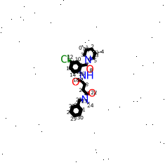 C[C@@H]1C[C@H](C)CN(C(=O)c2cc(Cl)ccc2NC(=O)CCC(=O)N(C)Cc2ccccc2)C1